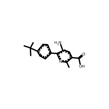 Cc1nc(-c2ccc(C(C)(C)C)cc2)c(N)cc1C(=O)O